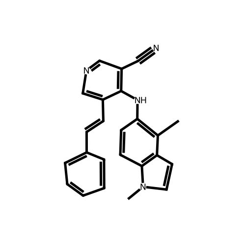 Cc1c(Nc2c(C#N)cncc2C=Cc2ccccc2)ccc2c1ccn2C